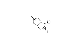 CN1CC2CN(I)C(=O)C2C1